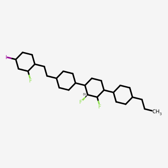 CCCC1CCC(C2CCC(C3CCC(CCC4CCC(I)CC4F)CC3)[C@H](F)C2F)CC1